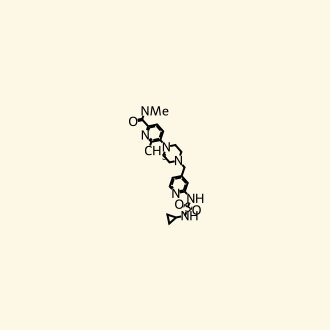 CNC(=O)c1ccc(N2CCN(Cc3ccnc(NS(=O)(=O)NC4CC4)c3)CC2)c(C)n1